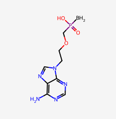 BP(=O)(O)COCCn1cnc2c(N)ncnc21